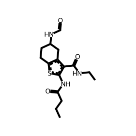 CCCC(=O)Nc1sc2c(c1C(=O)NCC)CC(NC=O)CC2